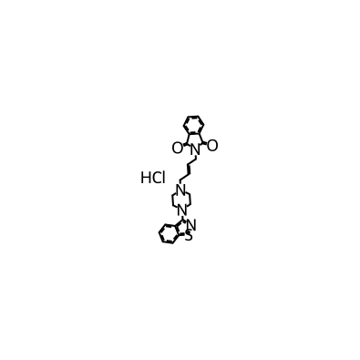 Cl.O=C1c2ccccc2C(=O)N1CC=CCN1CCN(c2nsc3ccccc23)CC1